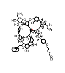 CCOCCOCCOc1ccc(S(=O)(=O)NC(=O)C[C@@H]2CC(=O)[C@H](NC(=O)[C@H](CC)CC(C)C)[C@H](O)c3ccc(c(Cl)c3)Oc3cc4cc(c3O[C@@H]3O[C@H](CN)[C@@H](O)[C@H](O)[C@H]3O)Oc3ccc(cc3Cl)[C@@H](O)[C@@H]3NC(=O)[C@H](CC(=O)[C@@H]4NC2=O)c2ccc(O)c(c2)-c2c(O)cc(O)cc2[C@@H](C(=O)CC2C4CC5CC(C4)CC2C5)NC3=O)cc1